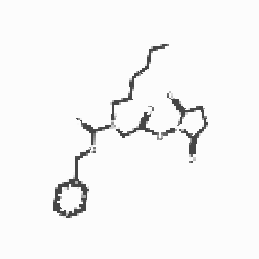 CCCCCCN(CC(=O)ON1C(=O)CCC1=O)C(=O)OCc1ccccc1